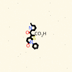 Cc1cccc(C(=O)c2c(C(=O)O)sc3c2ccc(=O)n3-c2ccccc2)n1